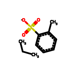 CCC.Cc1ccccc1S([O])(=O)=O